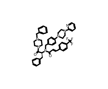 O=C([C@H](Cc1ccccc1)N(Cc1ccc(N2CCN(c3ccccn3)CC2)cc1)C(=O)C=Cc1ccc(C(F)(F)F)cc1)N1CCN(Cc2ccccc2)CC1